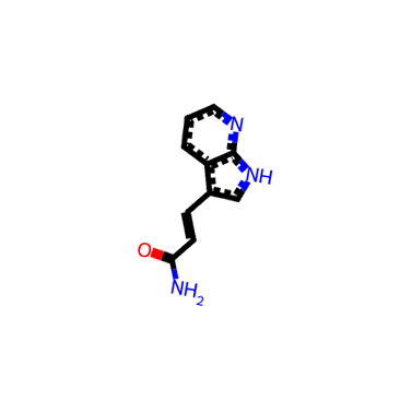 NC(=O)C=Cc1c[nH]c2ncccc12